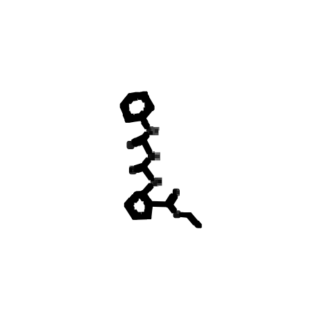 CCOC(=O)c1ccccc1NC(=O)NC(=O)Nc1ccccc1